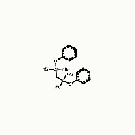 CCCC[Si](CCCC)(C[Si](CCCC)(CCCC)Oc1ccccc1)Oc1ccccc1